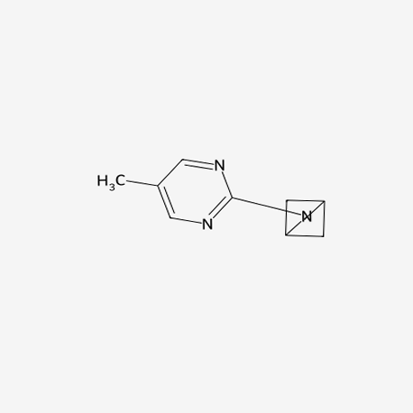 Cc1cnc(N2CC3CC2C3)nc1